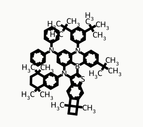 CC(C)(C)c1cc(N2c3ccc(C(C)(C)C)cc3B3c4sc5cc6c(cc5c4N(c4ccc5c(c4)C(C)(C)CCC5(C)C)c4cc(N(c5ccccc5)c5ccccc5)cc2c43)C2(C)CCC62C)cc(C(C)(C)C)c1